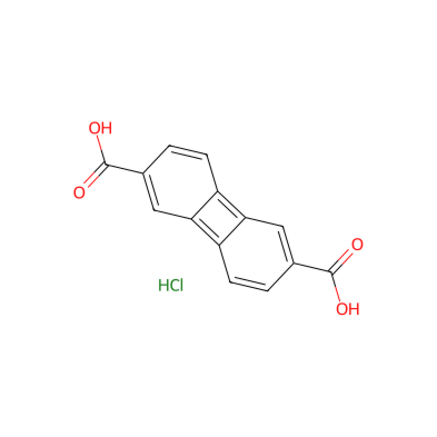 Cl.O=C(O)c1ccc2c(c1)=c1ccc(C(=O)O)cc1=2